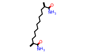 C=C(CCCCCCCCCC(=C)C(N)=O)C(N)=O